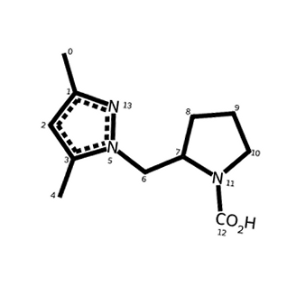 Cc1cc(C)n(CC2CCCN2C(=O)O)n1